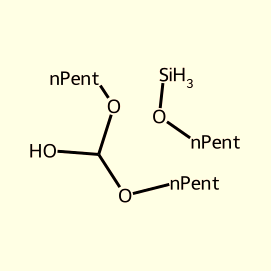 CCCCCOC(O)OCCCCC.CCCCCO[SiH3]